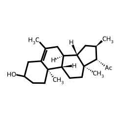 CC(=O)[C@H]1[C@H](C)C[C@H]2[C@@H]3CC(C)=C4CC(O)CC[C@]4(C)[C@H]3CC[C@@]21C